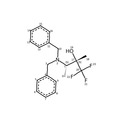 C[C@H](N(Cc1ccccc1)Cc1ccccc1)[C@](C)(O)C(F)(F)F